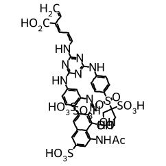 C=C/C(=C\C=C/Nc1nc(Nc2ccc(S(=O)(=O)C(CO)(CO)S(=O)(=O)O)cc2)nc(Nc2ccc(S(=O)(=O)O)c(N=Nc3c(S(=O)(=O)O)cc4cc(S(=O)(=O)O)cc(NC(C)=O)c4c3O)c2)n1)C(=O)O